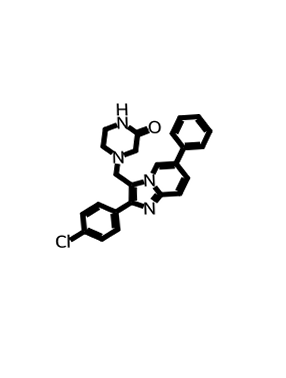 O=C1CN(Cc2c(-c3ccc(Cl)cc3)nc3ccc(-c4ccccc4)cn23)CCN1